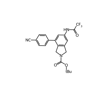 CC(C)(C)OC(=O)N1Cc2cc(NC(=O)C(F)(F)F)cc(-c3ccc(C#N)cc3)c2C1